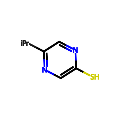 CC(C)c1cnc(S)cn1